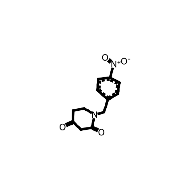 O=C1CCN(Cc2ccc([N+](=O)[O-])cc2)C(=O)C1